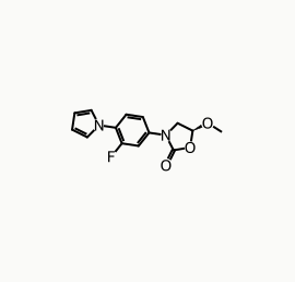 CO[C@@H]1CN(c2ccc(-n3cccc3)c(F)c2)C(=O)O1